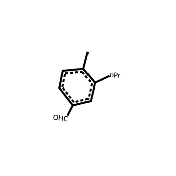 CCCc1cc(C=O)ccc1C